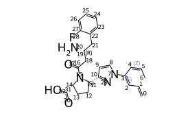 C=C/C=C(\C=C/C)n1ccc([C@@H]2CCCN2C(=O)C[C@H](N)Cc2ccccc2F)n1.O=CO